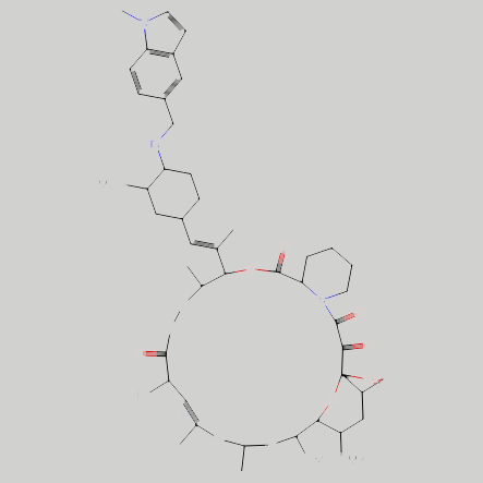 CCC1/C=C(\C)CC(C)CC(OC)C2OC(O)(C(=O)C(=O)N3CCCCC3C(=O)OC(C(C)=CC3CCC(NCc4ccc5c(ccn5C)c4)C(OC)C3)C(C)CCC1=O)C(C)CC2OC